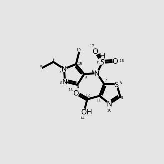 CCn1ncc(N(c2scnc2C(=O)O)[SH](=O)=O)c1C